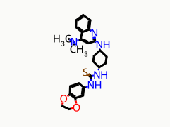 CN(C)c1cc(N[C@H]2CC[C@@H](NC(=S)Nc3ccc4c(c3)OCCO4)CC2)nc2ccccc12